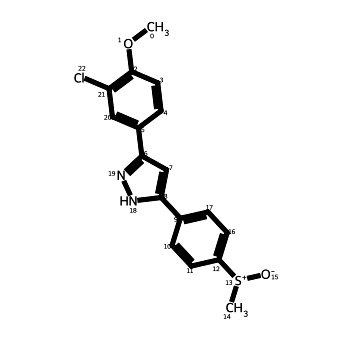 COc1ccc(-c2cc(-c3ccc([S+](C)[O-])cc3)[nH]n2)cc1Cl